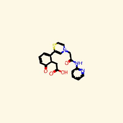 O=C(O)CC1C(=O)C=CC=C1C1=CN(CC(=O)Nc2ccccn2)C=CS1